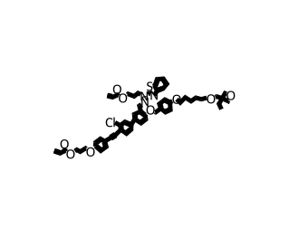 C=CC(=O)OCCCOc1ccc(C#Cc2ccc(-c3ccc(OCc4ccc(OCCCCCCOCC5(CC)COC5)cc4)c(/C=N/N(CCCOC(=O)C=C)c4nc5ccccc5s4)c3)cc2Cl)cc1